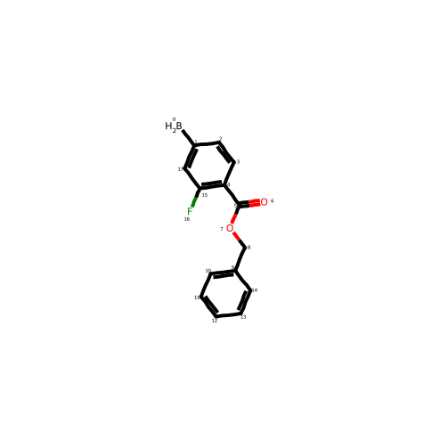 Bc1ccc(C(=O)OCc2ccccc2)c(F)c1